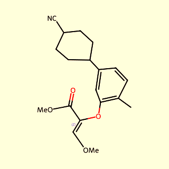 CO/C=C(\Oc1cc(C2CCC(C#N)CC2)ccc1C)C(=O)OC